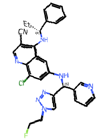 CC[C@@H](Nc1c(C#N)cnc2c(Cl)cc(N[C@@H](c3cccnc3)c3cn(CCF)nn3)cc12)c1ccccc1